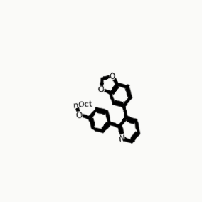 CCCCCCCCOc1ccc(-c2ncccc2-c2ccc3c(c2)OCO3)cc1